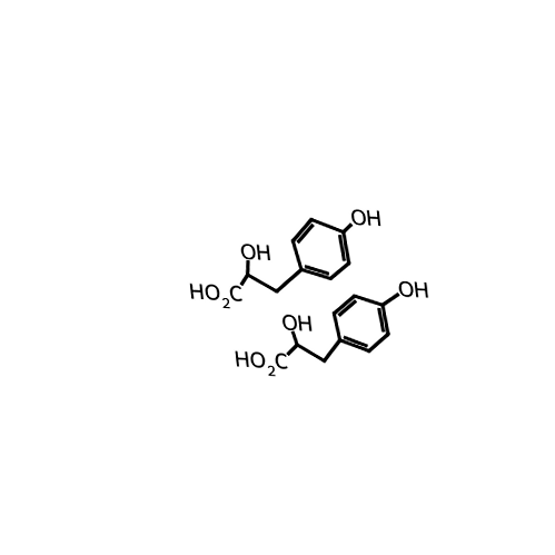 O=C(O)C(O)Cc1ccc(O)cc1.O=C(O)C(O)Cc1ccc(O)cc1